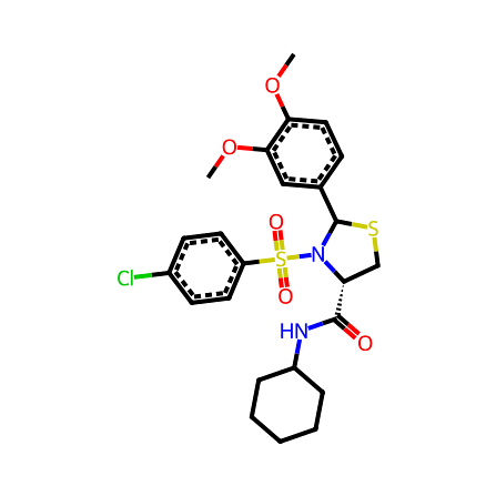 COc1ccc(C2SC[C@H](C(=O)NC3CCCCC3)N2S(=O)(=O)c2ccc(Cl)cc2)cc1OC